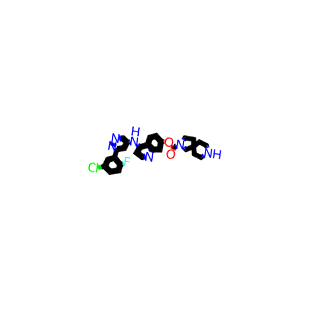 O=C(Oc1ccc2c(Nc3cnnc(-c4cc(Cl)ccc4F)c3)ccnc2c1)N1CCC2(CCNCC2)C1